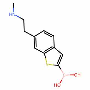 CNCCc1ccc2cc(B(O)O)sc2c1